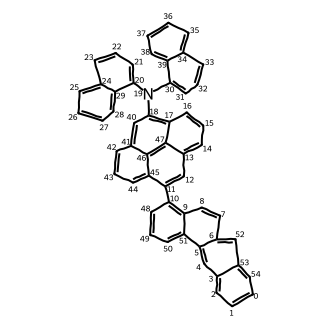 c1ccc2cc3c(ccc4c(-c5cc6cccc7c(N(c8cccc9ccccc89)c8cccc9ccccc89)cc8cccc5c8c67)cccc43)cc2c1